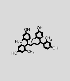 Cc1cc(O)ccc1C(CCCC(c1ccc(O)cc1C)c1ccc(O)cc1C)c1ccc(O)cc1C